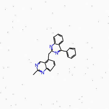 Cc1ncc2c(Cc3nc(-c4ccccc4)c4ccccc4n3)cccc2n1